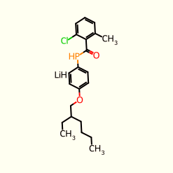 CCCCC(CC)COc1ccc(PC(=O)c2c(C)cccc2Cl)cc1.[LiH]